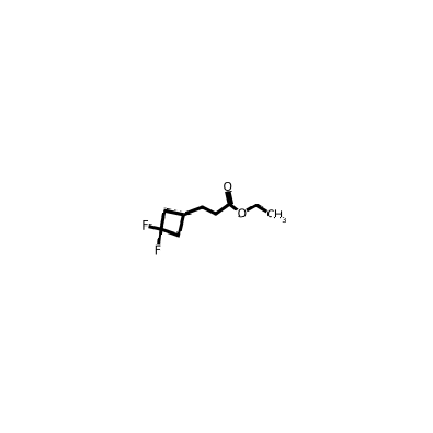 CCOC(=O)CCC1CC(F)(F)C1